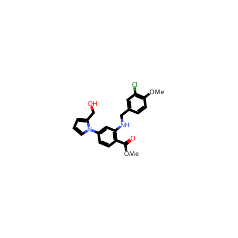 COC(=O)c1ccc(-n2cccc2CO)cc1NCc1ccc(OC)c(Cl)c1